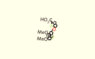 COc1ccc(F)c(-c2ccc(COc3ccc4c(c3F)[C@]3(CC4)C[C@H]3C(=O)O)cc2[C@@H](OC)C(C)(C)C)c1